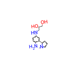 Cn1cccc1-c1cc(NCC(O)CO)ccc1N